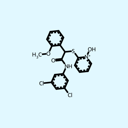 COc1ccccc1C(Sc1cccc[n+]1O)C(=O)Nc1cc(Cl)cc(Cl)c1